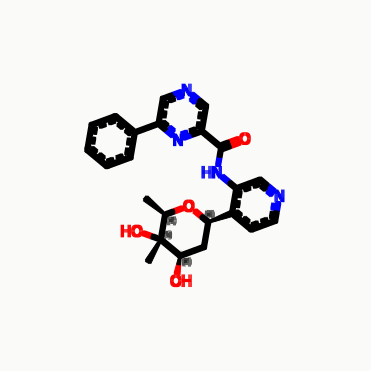 C[C@H]1O[C@@H](c2ccncc2NC(=O)c2cncc(-c3ccccc3)n2)C[C@@H](O)[C@]1(C)O